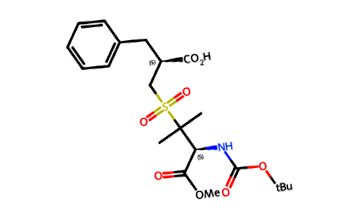 COC(=O)[C@H](NC(=O)OC(C)(C)C)C(C)(C)S(=O)(=O)C[C@@H](Cc1ccccc1)C(=O)O